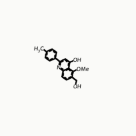 COc1c(CO)ccc2nc(-c3ccc(C)cc3)cc(O)c12